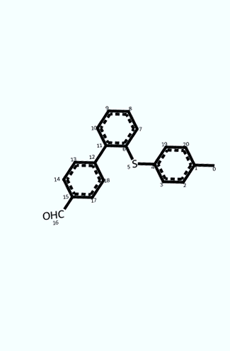 Cc1ccc(Sc2ccccc2-c2ccc(C=O)cc2)cc1